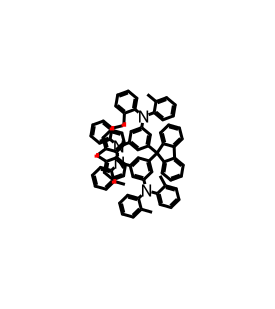 Cc1ccccc1N(c1cc(N(c2ccccc2C)c2ccccc2C)cc(C2(c3cc(N(c4ccccc4C)c4ccccc4C)cc(N(c4ccccc4C)c4ccccc4C)c3)c3ccccc3-c3ccccc32)c1)c1ccccc1C